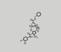 Cn1cc2c(c1C(=O)Nc1ccc(F)c(Cl)c1)OC[C@@H]1CN(C(=O)OCc3ccccc3)C[C@@H]1NS2(=O)=O